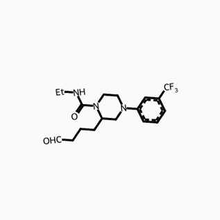 CCNC(=O)N1CCN(c2cccc(C(F)(F)F)c2)CC1CCCC=O